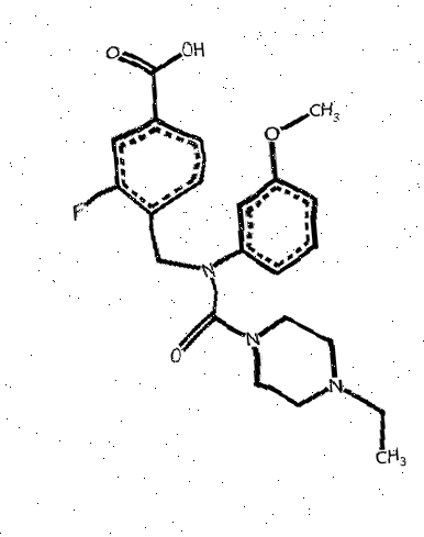 CCN1CCN(C(=O)N(Cc2ccc(C(=O)O)cc2F)c2cccc(OC)c2)CC1